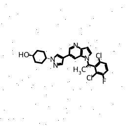 C[C@H](c1c(Cl)ccc(F)c1Cl)n1ccc2ncc(-c3cnn([C@H]4CC[C@H](O)CC4)c3)cc21